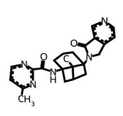 Cc1ccnc(C(=O)NC23CC4CC5(N6Cc7ccncc7C6=O)CC(C2)C35C4)n1